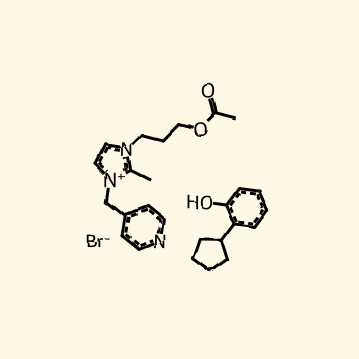 CC(=O)OCCCn1cc[n+](Cc2ccncc2)c1C.Oc1ccccc1C1CCCC1.[Br-]